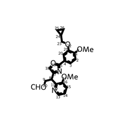 COc1ccc(-c2nc(C(CC=O)c3ncccc3OC)co2)cc1OCC1CC1